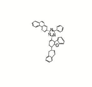 C1=CC(C2CC=C(c3nc(-c4ccccc4)nc(-c4ccc5c(ccc6ccccc65)c4)n3)c3c2oc2ccccc32)Cc2ccccc21